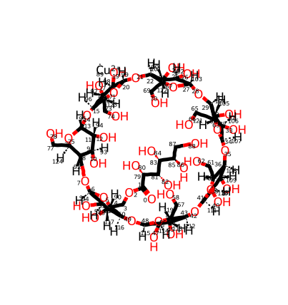 O=C(OC[C@H]1O[C@@H]2O[C@H]3[C@H](O)[C@@H](O)[C@@H](O[C@H]4[C@H](O)[C@@H](O)[C@@H](O[C@H]5[C@H](O)[C@@H](O)[C@@H](O[C@H]6[C@H](O)[C@@H](O)[C@@H](O[C@H]7[C@H](O)[C@@H](O)[C@@H](O[C@H]8[C@H](O)[C@@H](O)[C@@H](O[C@H]1[C@H](O)[C@H]2O)O[C@@H]8CO)O[C@@H]7CO)O[C@@H]6CO)O[C@@H]5CO)O[C@@H]4CO)O[C@@H]3CO)[C@H](O)[C@@H](O)[C@H](O)[C@H](O)CO.[Cu+2]